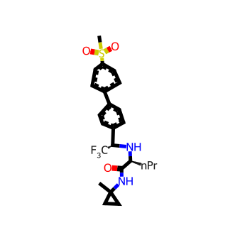 CCC[C@H](N[C@@H](c1ccc(-c2ccc(S(C)(=O)=O)cc2)cc1)C(F)(F)F)C(=O)NC1(C)CC1